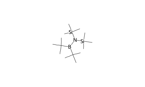 CC(C)(C)B(N([Si](C)(C)C)[Si](C)(C)C)C(C)(C)C